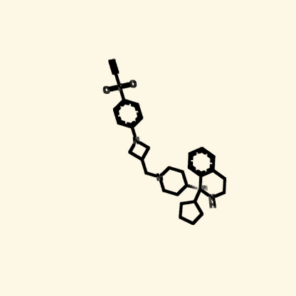 C#CS(=O)(=O)c1ccc(N2CC(CN3CCC([C@@]4(C5CCCC5)NCCc5ccccc54)CC3)C2)cc1